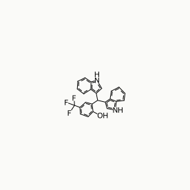 Oc1ccc(C(F)(F)F)cc1C(c1c[nH]c2ccccc12)c1c[nH]c2ccccc12